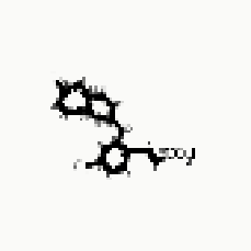 O=C(O)C=Cc1ccc(Cl)cc1Cc1ccc2cc(F)ccc2c1